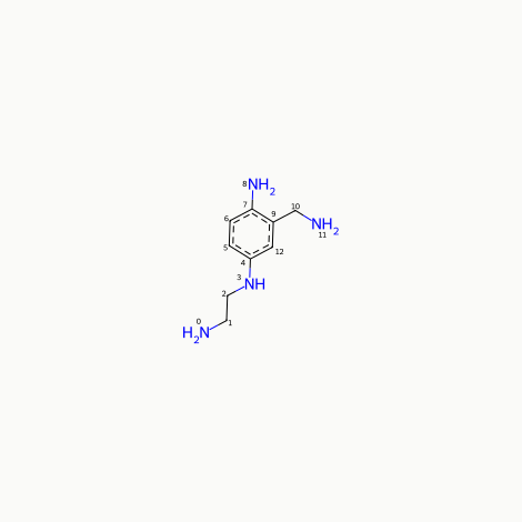 NCCNc1ccc(N)c(CN)c1